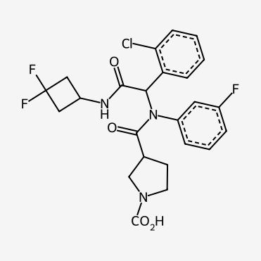 O=C(NC1CC(F)(F)C1)C(c1ccccc1Cl)N(C(=O)C1CCN(C(=O)O)C1)c1cccc(F)c1